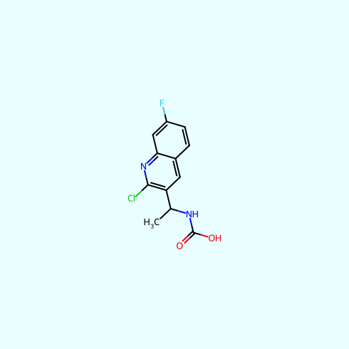 CC(NC(=O)O)c1cc2ccc(F)cc2nc1Cl